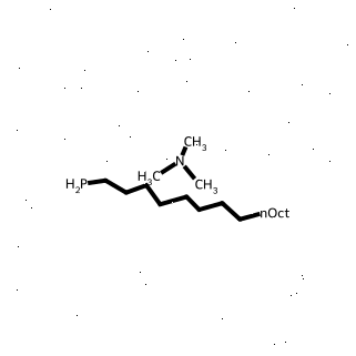 CCCCCCCCCCCCCCCCP.CN(C)C